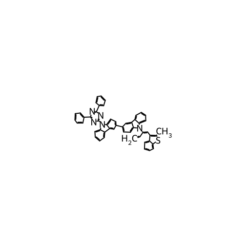 C=C/C(=C\c1c(C)sc2ccccc12)n1c2ccccc2c2cc(-c3ccc4c(c3)c3ccccc3n4-c3nc(-c4ccccc4)nc(-c4ccccc4)n3)ccc21